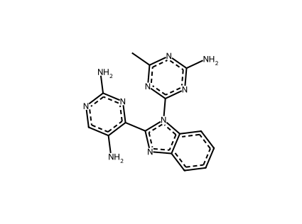 Cc1nc(N)nc(-n2c(-c3nc(N)ncc3N)nc3ccccc32)n1